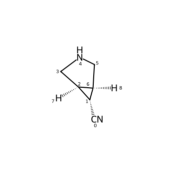 N#C[C@@H]1[C@H]2CNC[C@@H]12